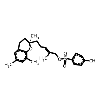 C/C(=C\CC[C@]1(C)CCc2cc(C)cc(C)c2O1)COS(=O)(=O)c1ccc(C)cc1